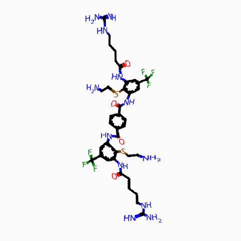 N=C(N)NCCCCC(=O)Nc1cc(C(F)(F)F)cc(NC(=O)c2ccc(C(=O)Nc3cc(C(F)(F)F)cc(NC(=O)CCCCNC(=N)N)c3SCCN)cc2)c1SCCN